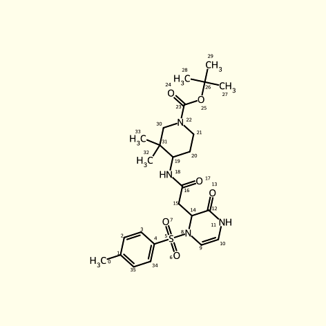 Cc1ccc(S(=O)(=O)N2C=CNC(=O)C2CC(=O)NC2CCN(C(=O)OC(C)(C)C)CC2(C)C)cc1